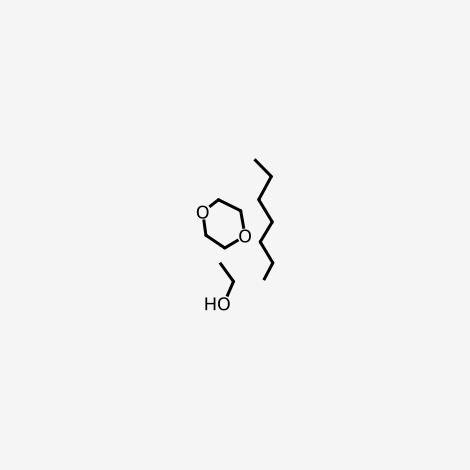 C1COCCO1.CCCCCCC.CCO